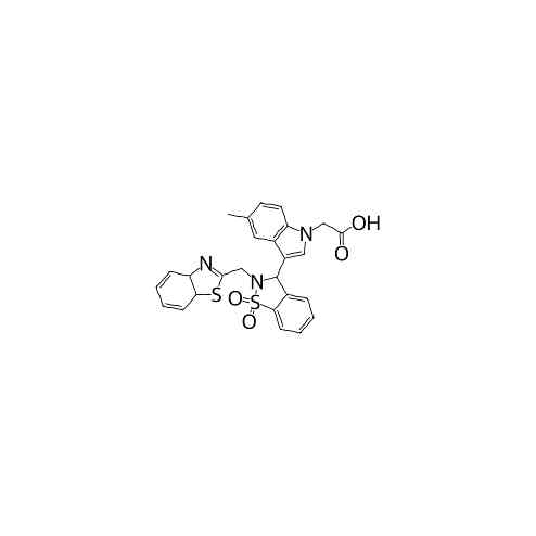 Cc1ccc2c(c1)c(C1c3ccccc3S(=O)(=O)N1CC1=NC3C=CC=CC3S1)cn2CC(=O)O